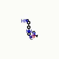 [C-]#[N+]c1ccc2nc(-c3ccc(-c4ccc5cc[nH]c5c4)cc3)n(C[C@@H]3CCN(C(=O)C4CC4)C3)c2c1